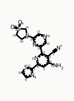 N#Cc1c(N)cc(-c2nccs2)nc1-c1cncc(N2CCS(=O)(=O)C2)n1